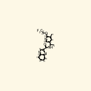 Cc1cc(C(C)NC(=O)c2cnc3ccccc3n2)cnc1OCC(F)(F)F